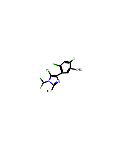 Cc1nc(-c2cc(C=O)c(Cl)cc2Cl)c(Cl)n1C(F)F